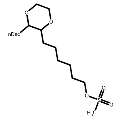 CCCCCCCCCCC1OCCOC1CCCCCCOS(C)(=O)=O